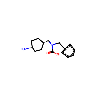 N[C@H]1CC[C@H](CN(Cc2ccccc2)C(=O)O)CC1